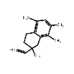 C=CC1(C)CCc2c(C)cc(C)c(C)c2C1